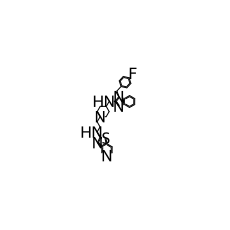 Fc1ccc(Cn2c(NC3CCN(CCNc4nc5cnccc5s4)CC3)nc3ccccc32)cc1